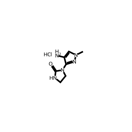 Cl.Cn1cc(N)c(N2CCNC2=O)n1